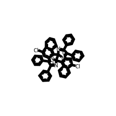 Clc1cc(Cl)c2ccccc2c1C1(C2(c3c(Cl)cc(Cl)c4ccccc34)N=C(c3ccccc3)C(c3ccccc3)=N2)N=C(c2ccccc2)C(c2ccccc2)=N1